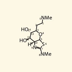 CNCCC1OC2SC(NC)=N[C@@H]2[C@@H](O)[C@@H]1O